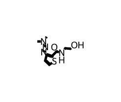 CN(C)/N=N/c1ccsc1C(=O)NCCO